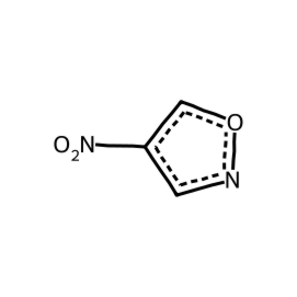 O=[N+]([O-])c1cnoc1